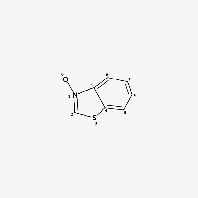 [O-][n+]1csc2ccccc21